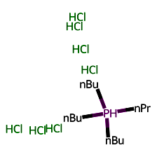 CCCC[PH](CCC)(CCCC)CCCC.Cl.Cl.Cl.Cl.Cl.Cl.Cl